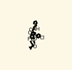 O=C(NCCN1CCCC1)c1cn2c3c(c(N4CCN(C(=O)C5CC5)CC4)c(F)cc3c1=O)Oc1cc(Cl)ccc1-2